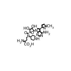 Cn1ccc(-c2cn([C@@H]3O[C@H](C(=O)N(CC[C@H](N)C(=O)O)C4CCNCC4)[C@@H](O)[C@H]3O)c3ncnc(N)c23)n1